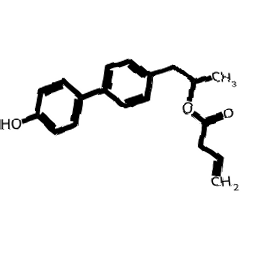 C=CCC(=O)OC(C)Cc1ccc(-c2ccc(O)cc2)cc1